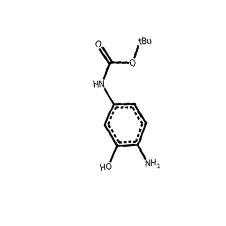 CC(C)(C)OC(=O)Nc1ccc(N)c(O)c1